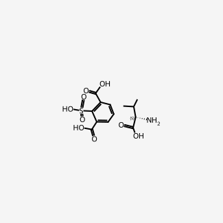 CC(C)[C@H](N)C(=O)O.O=C(O)c1cccc(C(=O)O)c1S(=O)(=O)O